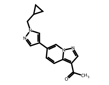 CC(=O)c1cnn2cc(-c3cnn(CC4CC4)c3)ccc12